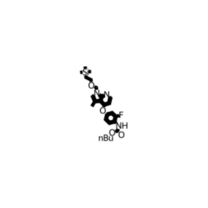 CCCCOC(=O)Nc1ccc(Oc2ccnc3c2c(C)cn3COCC[Si](C)(C)C)cc1F